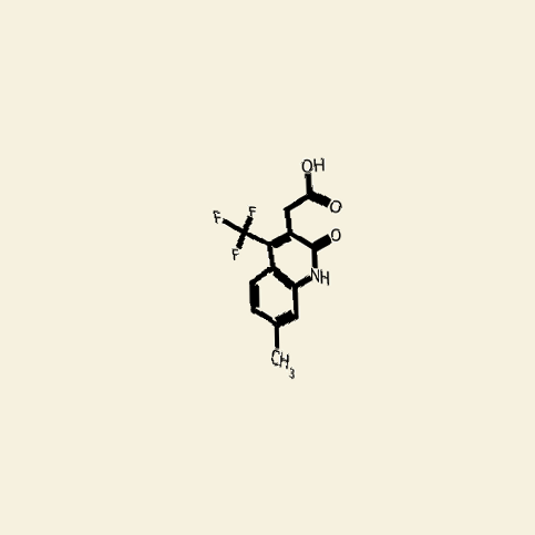 Cc1ccc2c(C(F)(F)F)c(CC(=O)O)c(=O)[nH]c2c1